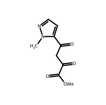 COC(=O)C(=O)CC(=O)c1ccnn1C